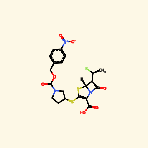 C[C@H](F)[C@H]1C(=O)N2C(C(=O)O)=C(S[C@H]3CCN(C(=O)OCc4ccc([N+](=O)[O-])cc4)C3)S[C@H]12